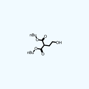 CCCCOC(=O)C(CCO)C(=O)OCCCC